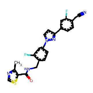 Cc1ncsc1C(=O)NCc1ccc(-n2ccc(-c3ccc(C#N)c(F)c3)n2)cc1F